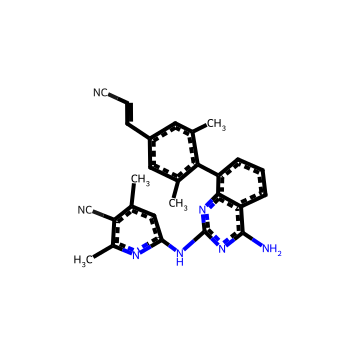 Cc1cc(Nc2nc(N)c3cccc(-c4c(C)cc(/C=C/C#N)cc4C)c3n2)nc(C)c1C#N